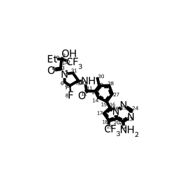 CCC(O)(C(=O)N1C[C@H](F)[C@H](NC(=O)c2cc(-c3cc(C(F)(F)F)c4c(N)ncnn34)ccc2C)C1)C(F)(F)F